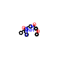 N=C1NC(CC2CCCCC2)(CC2CCCCC2)C(=O)N1CC1CCN(C(=O)c2ccc(Oc3ccccc3)cc2)CC1